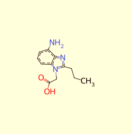 CCCc1nc2c(N)cccc2n1CC(=O)O